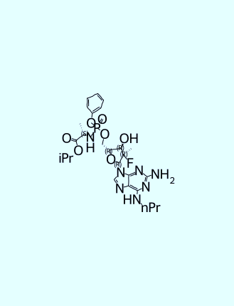 CCCNc1nc(N)nc2c1ncn2[C@@H]1O[C@H](COP(=O)(N[C@@H](C)C(=O)OC(C)C)Oc2ccccc2)[C@@H](O)[C@@]1(C)F